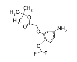 CC(C)(C)OC(=O)COc1cc(N)ccc1OC(F)F